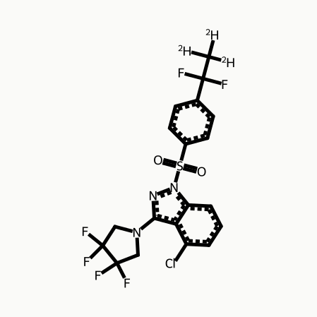 [2H]C([2H])([2H])C(F)(F)c1ccc(S(=O)(=O)n2nc(N3CC(F)(F)C(F)(F)C3)c3c(Cl)cccc32)cc1